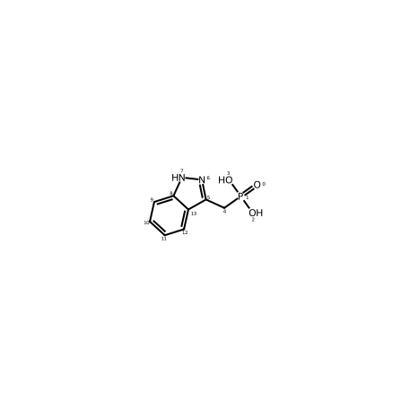 O=P(O)(O)Cc1n[nH]c2ccccc12